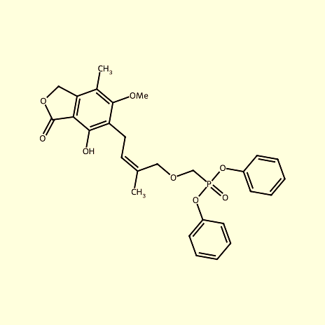 COc1c(C)c2c(c(O)c1CC=C(C)COCP(=O)(Oc1ccccc1)Oc1ccccc1)C(=O)OC2